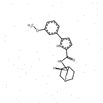 COc1cccc(-c2ccc(C(=O)N[C@H]3CN4CCC3CC4)[nH]2)c1